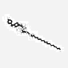 CCC=CCC=CCC=CCC=CCC=CCCCC(=O)NCCNC(=O)[C@@H](NC(=O)C(C)(C)Oc1ccc(C(=O)c2ccc(Cl)cc2)cc1)C(C)C